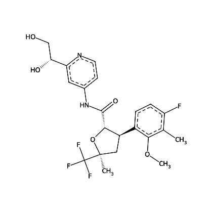 COc1c([C@H]2C[C@@](C)(C(F)(F)F)O[C@@H]2C(=O)Nc2ccnc([C@H](O)CO)c2)ccc(F)c1C